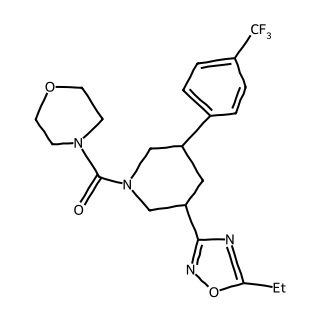 CCc1nc(C2CC(c3ccc(C(F)(F)F)cc3)CN(C(=O)N3CCOCC3)C2)no1